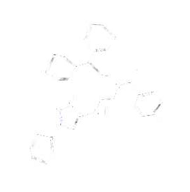 C[C@H](c1ccc(F)cc1)N(CC=C(c1ccccc1)c1ccccc1)CCNc1cc(-c2ccc(F)cc2)n[nH]1